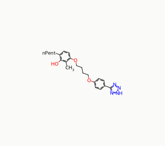 CCCCCc1ccc(OCCCCOc2ccc(-c3nn[nH]n3)cc2)c(C)c1O